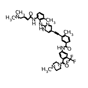 Cc1ccc(C(=O)Nc2ccc(C(=O)N3CCN(C)CC3)c(C(F)(F)F)c2)cc1C#Cc1cnc(Nc2c(C)cccc2NC(=O)/C=C/CN(C)C)nc1